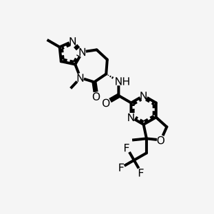 Cc1cc2n(n1)CC[C@H](NC(=O)c1ncc3c(n1)C(C)(CC(F)(F)F)OC3)C(=O)N2C